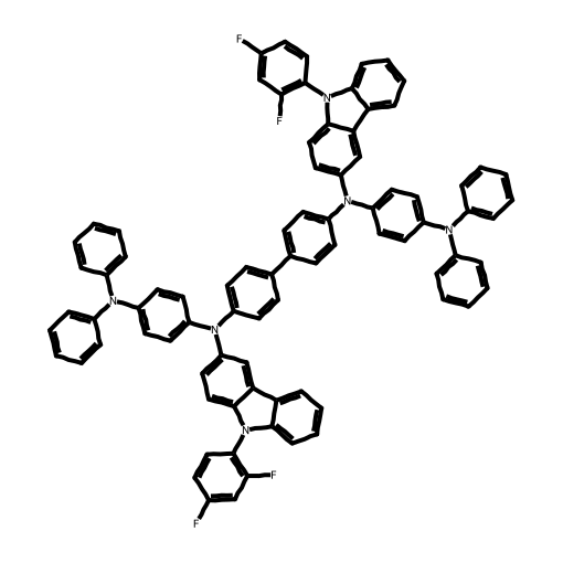 Fc1ccc(-n2c3ccccc3c3cc(N(c4ccc(-c5ccc(N(c6ccc(N(c7ccccc7)c7ccccc7)cc6)c6ccc7c(c6)c6ccccc6n7-c6ccc(F)cc6F)cc5)cc4)c4ccc(N(c5ccccc5)c5ccccc5)cc4)ccc32)c(F)c1